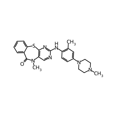 Cc1cc(N2CCN(C)CC2)ccc1Nc1ncc2c(n1)Sc1ccccc1C(=O)N2C